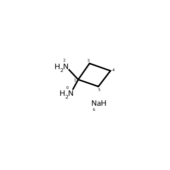 NC1(N)CCC1.[NaH]